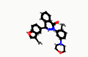 Cc1coc2ccc(-c3nn(-c4cc(N5CCOCC5)ccc4[N+](=O)[O-])c(=O)c4ccccc34)cc12